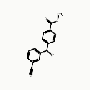 COC(=O)c1ccc(C(Br)c2cccc(C#N)c2)cc1